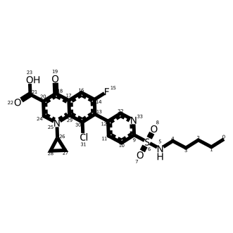 CCCCCNS(=O)(=O)c1ccc(-c2c(F)cc3c(=O)c(C(=O)O)cn(C4CC4)c3c2Cl)cn1